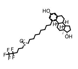 C[C@]12CC[C@@H]3c4c(CCCCCCCCC[S+]([O-])CCCC(F)(F)C(F)(F)F)cc(O)cc4CC[C@H]3[C@@H]1CC[C@@H]2O